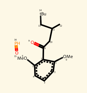 COc1cccc(OC)c1C(=O)CC(C)CC(C)(C)C.O=P